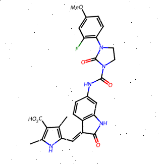 COc1ccc(N2CCN(C(=O)Nc3ccc4c(c3)NC(=O)C4=Cc3[nH]c(C)c(C(=O)O)c3C)C2=O)c(F)c1